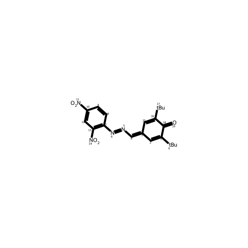 CC(C)(C)C1=CC(=CN=Nc2ccc([N+](=O)[O-])cc2[N+](=O)[O-])C=C(C(C)(C)C)C1=O